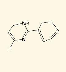 IC1=CCNC(C2=CC=CCC2)=N1